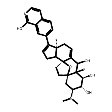 CN(C)[C@H]1C[C@@]23CC[C@@]4(O2)C(=CC[C@]2(C)C(c5ccc6ccnc(O)c6c5)=CCC24)C(O)C3(F)[C@@H](O)[C@@H]1O